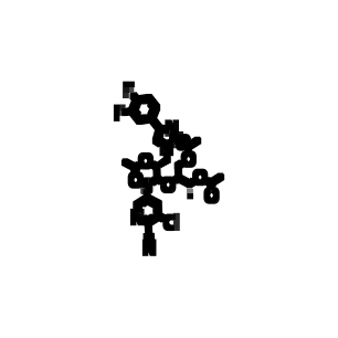 CC(=O)OCC(OC(Sc1cnc(C#N)c(Cl)c1)[C@H](Cn1cc(-c2ccc(F)c(F)c2)nn1)OC(C)=O)[C@@H](C)OC(C)=O